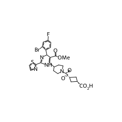 COC(=O)C1=C(C2CCN(S(=O)(=O)[C@H]3C[C@H](C(=O)O)C3)CC2)NC(c2nccs2)=NC1c1ccc(F)cc1Br